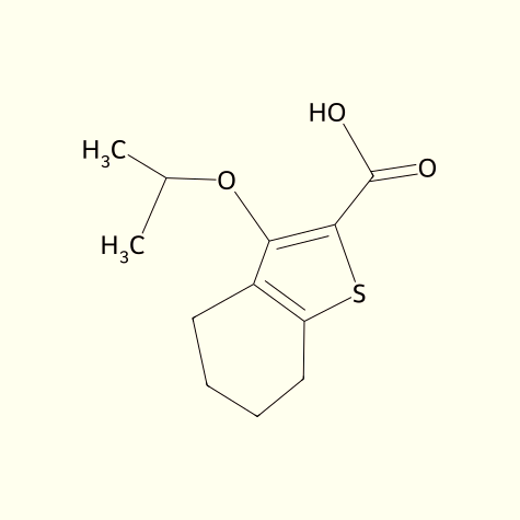 CC(C)Oc1c(C(=O)O)sc2c1CCCC2